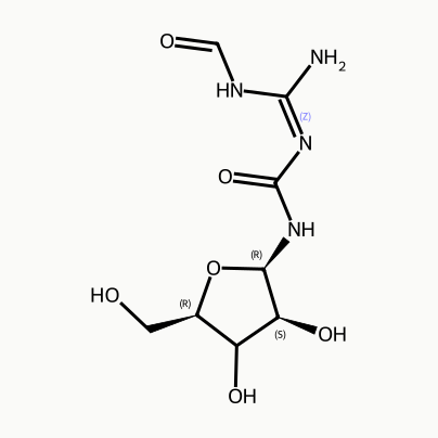 N/C(=N/C(=O)N[C@@H]1O[C@H](CO)C(O)[C@@H]1O)NC=O